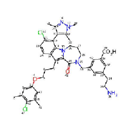 Cc1cc(OCCCc2c3n(c4c(-c5c(C)nn(C)c5C)c(Cl)ccc24)CCCN(Cc2cc(CCN)cc(C(=O)O)c2)C3=O)cc(C)c1Cl